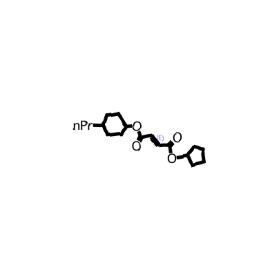 CCCC1CCC(OC(=O)/C=C/C(=O)OC2CCCC2)CC1